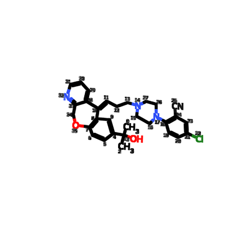 CC(C)(O)c1ccc2c(c1)C(=CCCN1CCN(c3ccc(Cl)cc3C#N)CC1)c1cccnc1CO2